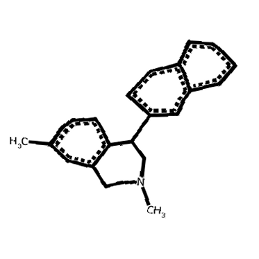 Cc1ccc2c(c1)CN(C)CC2c1ccc2ccccc2c1